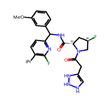 COc1cccc(C(NC(=O)[C@@H]2C[C@@H](F)CN2C(=O)CC2=CNNN2)c2ccc(C(C)C)c(F)n2)c1